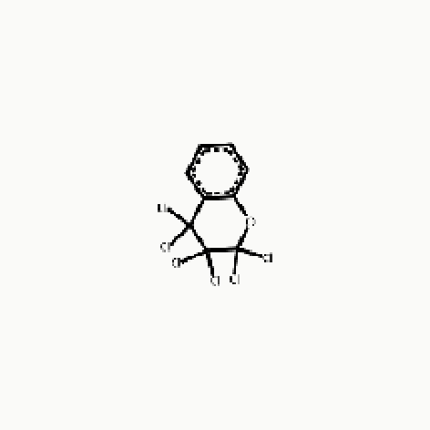 ClC1(Cl)Oc2ccccc2C(Cl)(Cl)C1(Cl)Cl